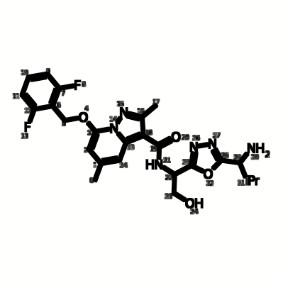 Cc1cc(OCc2c(F)cccc2F)n2nc(C)c(C(=O)NC(CO)c3nnc(C(N)C(C)C)o3)c2c1